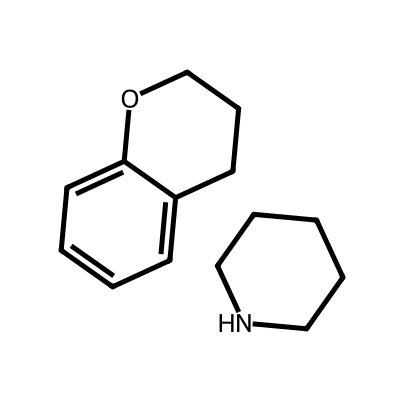 C1CCNCC1.c1ccc2c(c1)CCCO2